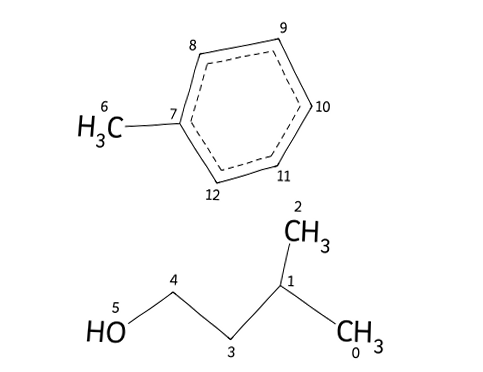 CC(C)CCO.Cc1ccccc1